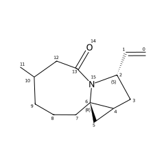 C=C[C@@H]1CC2C[C@]23CCCC(C)CC(=O)N13